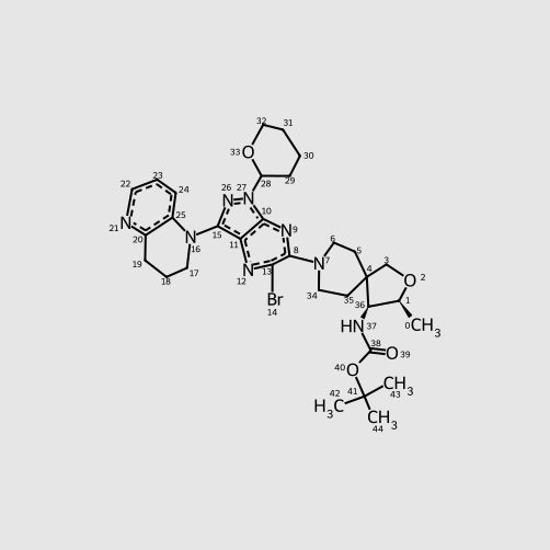 C[C@@H]1OCC2(CCN(c3nc4c(nc3Br)c(N3CCCc5ncccc53)nn4C3CCCCO3)CC2)[C@@H]1NC(=O)OC(C)(C)C